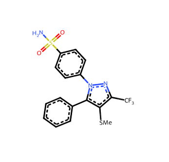 CSc1c(C(F)(F)F)nn(-c2ccc(S(N)(=O)=O)cc2)c1-c1ccccc1